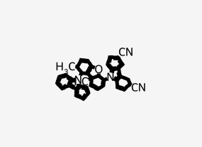 CC1C=CC2=C(C1n1c3ccccc3c3ccccc31)C1(C)C=CC=C(n3c4c(c5cc(C#N)ccc53)CC(C#N)C=C4)C1O2